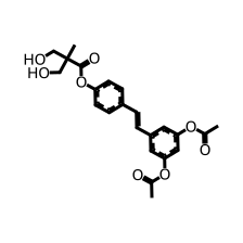 CC(=O)Oc1cc(/C=C/c2ccc(OC(=O)C(C)(CO)CO)cc2)cc(OC(C)=O)c1